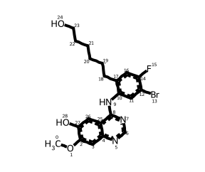 COc1cc2ncnc(Nc3cc(Br)c(F)cc3C[CH]CCCCO)c2cc1O